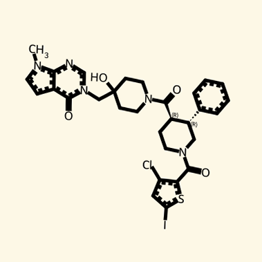 Cn1ccc2c(=O)n(CC3(O)CCN(C(=O)[C@@H]4CCN(C(=O)c5sc(I)cc5Cl)C[C@H]4c4ccccc4)CC3)cnc21